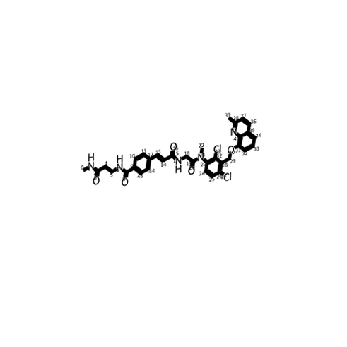 CNC(=O)CCNC(=O)c1ccc(C=CC(=O)NCC(=O)N(C)c2ccc(Cl)c(COc3cccc4ccc(C)nc34)c2Cl)cc1